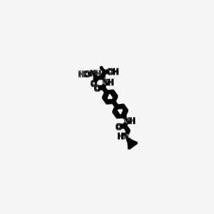 C[C@@H](O)[C@H](NC(=O)c1ccc(-c2ccc(NC(=O)CNC3CC3)cc2)cc1)C(=O)NO